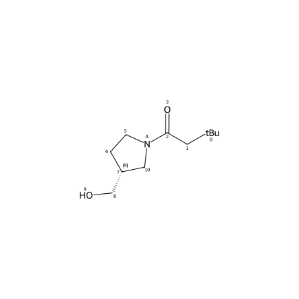 CC(C)(C)CC(=O)N1CC[C@@H](CO)C1